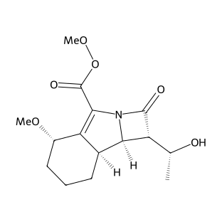 COOC(=O)C1=C2[C@@H](OC)CCC[C@@H]2[C@@H]2[C@@H]([C@@H](C)O)C(=O)N12